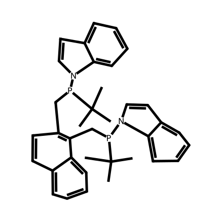 CC(C)(C)P(Cc1ccc2ccccc2c1CP(n1ccc2ccccc21)C(C)(C)C)n1ccc2ccccc21